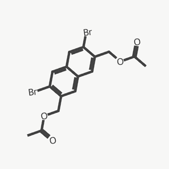 CC(=O)OCc1cc2cc(COC(C)=O)c(Br)cc2cc1Br